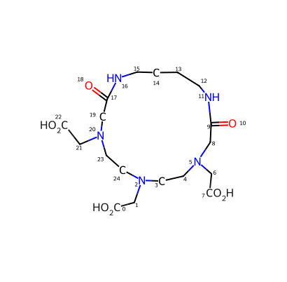 O=C(O)CN1CCN(CC(=O)O)CC(=O)NCCCCNC(=O)CN(CC(=O)O)CC1